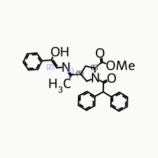 COC(=O)[C@@H]1C[C@H](/C(C)=N/C=C(\O)c2ccccc2)CN1C(=O)C(c1ccccc1)c1ccccc1